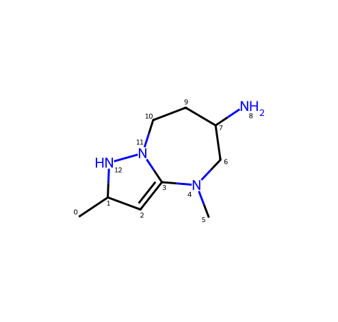 CC1C=C2N(C)CC(N)CCN2N1